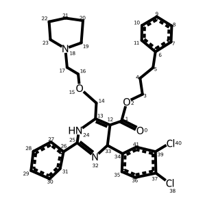 O=C(OCCCc1ccccc1)C1=C(COCCN2CCCCC2)NC(c2ccccc2)=NC1c1ccc(Cl)c(Cl)c1